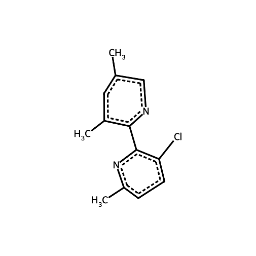 Cc1cnc(-c2nc(C)ccc2Cl)c(C)c1